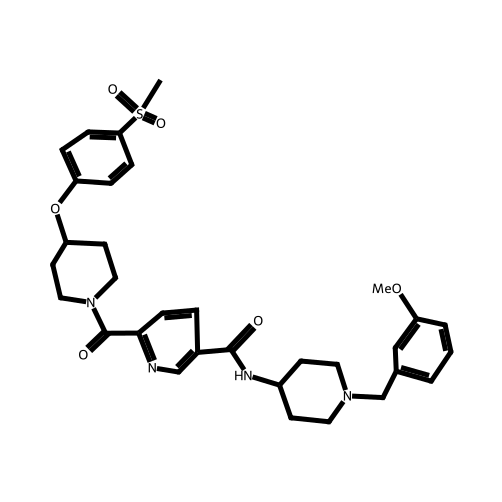 COc1cccc(CN2CCC(NC(=O)c3ccc(C(=O)N4CCC(Oc5ccc(S(C)(=O)=O)cc5)CC4)nc3)CC2)c1